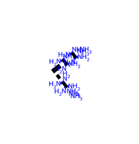 C=C.C=C.C=C.C=C.N.N.N.N.N.NC(N)=C(N)N.NC(N)=C(N)N.NC(N)=C(N)N